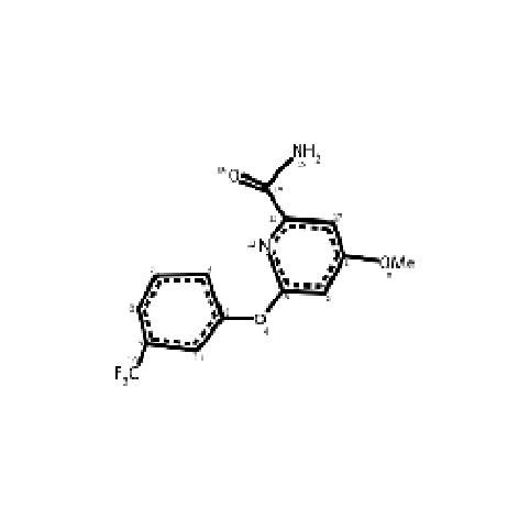 COc1cc(Oc2cccc(C(F)(F)F)c2)nc(C(N)=O)c1